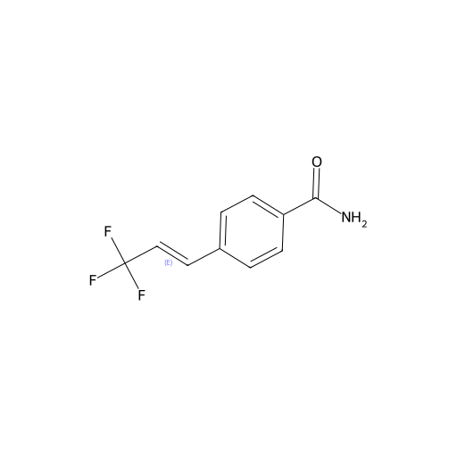 NC(=O)c1ccc(/C=C/C(F)(F)F)cc1